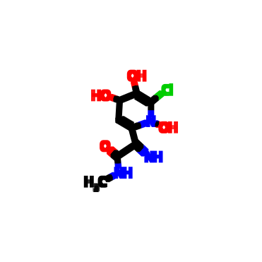 CNC(=O)C(=N)C1=CC(O)C(O)=C(Cl)N1O